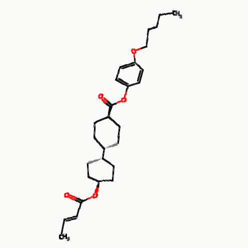 C/C=C/C(=O)O[C@H]1CC[C@H]([C@H]2CC[C@H](C(=O)Oc3ccc(OCCCCC)cc3)CC2)CC1